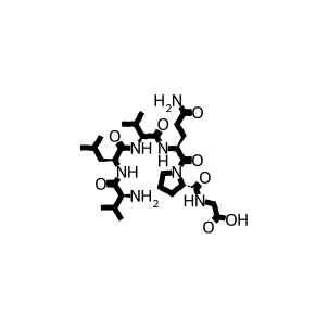 CC(C)C[C@H](NC(=O)[C@@H](N)C(C)C)C(=O)N[C@H](C(=O)N[C@@H](CCC(N)=O)C(=O)N1CCC[C@H]1C(=O)NCC(=O)O)C(C)C